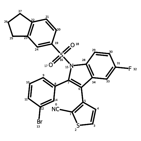 N#Cc1sccc1-c1c(-c2cccc(Br)c2)n(S(=O)(=O)c2ccc3c(c2)CCC3)c2ccc(F)cc12